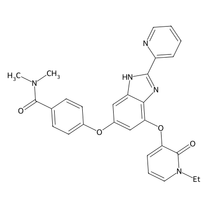 CCn1cccc(Oc2cc(Oc3ccc(C(=O)N(C)C)cc3)cc3[nH]c(-c4ccccn4)nc23)c1=O